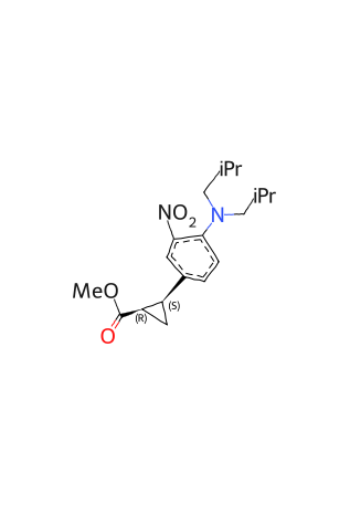 COC(=O)[C@@H]1C[C@@H]1c1ccc(N(CC(C)C)CC(C)C)c([N+](=O)[O-])c1